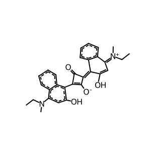 CCN(C)c1cc(O)c(C2=C([O-])/C(=C3C(O)=C/C(=[N+](/C)CC)c4ccccc4\3)C2=O)c2ccccc12